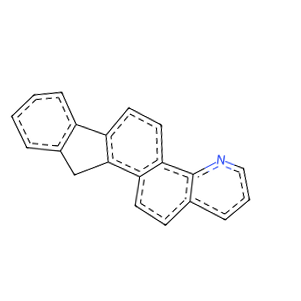 c1ccc2c(c1)Cc1c-2ccc2c1ccc1cccnc12